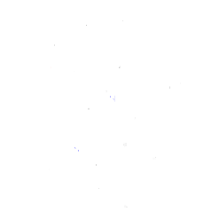 COc1c(OC)c(OC)n2c1C=[N+]([O-])C1=CCCCC1C2